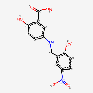 O=C(O)c1cc(NCc2cc([N+](=O)[O-])ccc2O)ccc1O